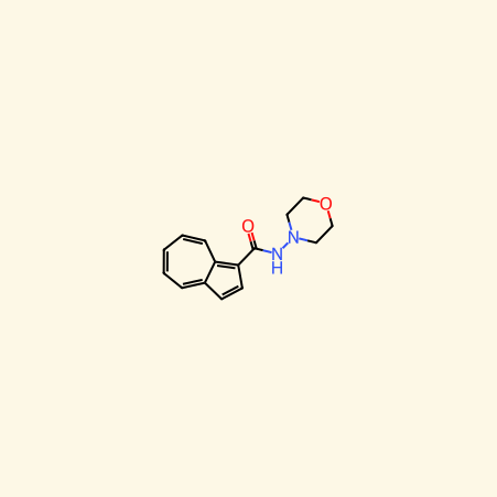 O=C(NN1CCOCC1)c1ccc2cccccc1-2